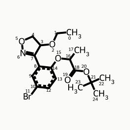 CCOC1CON=C1c1cc(Br)ccc1OC(C)C(=O)OC(C)(C)C